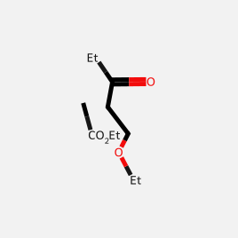 CCOC(C)=O.CCOCCC(=O)CC